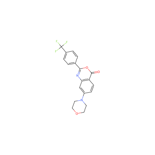 O=c1oc(-c2ccc(C(F)(F)F)cc2)nc2cc(N3CCOCC3)ccc12